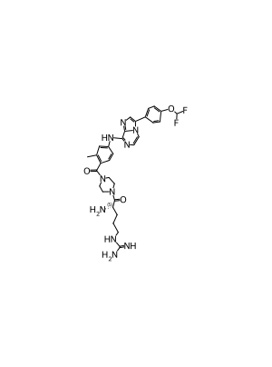 Cc1cc(Nc2nccn3c(-c4ccc(OC(F)F)cc4)cnc23)ccc1C(=O)N1CCN(C(=O)[C@@H](N)CCCNC(=N)N)CC1